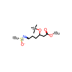 CC(C)(C)OC(=O)CC(CCC=N[S@+]([O-])C(C)(C)C)O[Si](C)(C)C